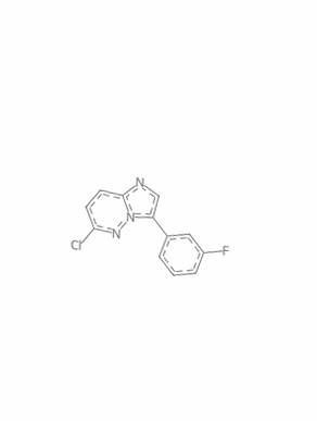 Fc1cccc(-c2cnc3ccc(Cl)nn23)c1